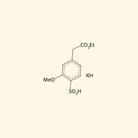 CCOC(=O)Cc1ccc(S(=O)(=O)O)c(OC)c1.[KH]